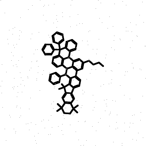 CCCCc1cc2c3c(c1)N1c4ccccc4C(c4ccccc4)(c4ccccc4)c4cccc(c41)B3N(c1ccccc1)c1c-2ccc2c1C(C)(C)c1cc3c(cc1-2)C(C)(C)CCC3(C)C